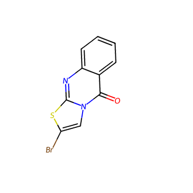 O=c1c2ccccc2nc2sc(Br)cn12